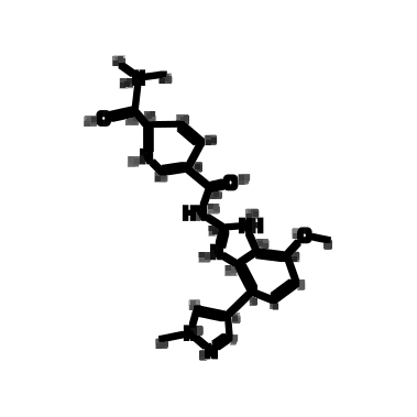 COc1ccc(-c2cnn(C)c2)c2nc(NC(=O)c3ccc(C(=O)N(C)C)nc3)[nH]c12